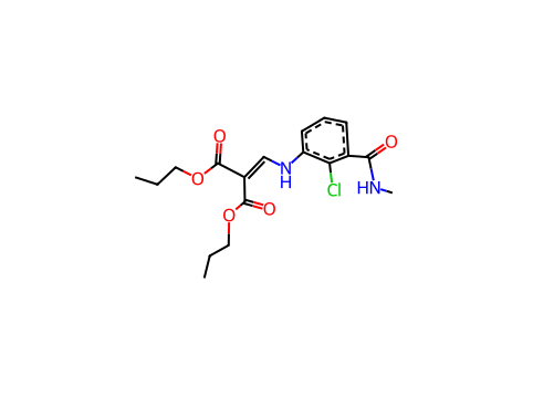 CCCOC(=O)C(=CNc1cccc(C(=O)NC)c1Cl)C(=O)OCCC